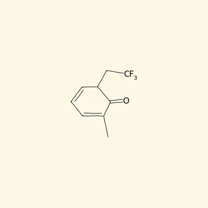 CC1=CC=CC(CC(F)(F)F)C1=O